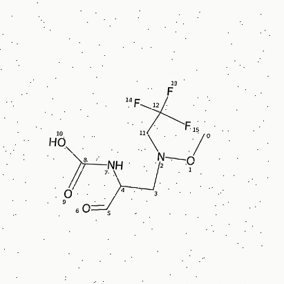 CON(CC(C=O)NC(=O)O)CC(F)(F)F